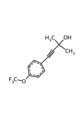 CC(C)(O)C#Cc1ccc(OC(F)(F)F)cc1